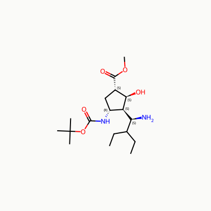 CCC(CC)[C@H](N)[C@@H]1[C@H](O)[C@@H](C(=O)OC)C[C@H]1NC(=O)OC(C)(C)C